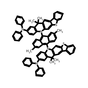 Cc1ccc2c(N3c4ccc(N(c5ccccc5)c5ccccc5)cc4C(C)(C)c4cc5c(cc43)sc3ccccc35)c3cc(C)ccc3c(N3c4ccc(N(c5ccccc5)c5ccccc5)cc4C(C)(C)c4cc5c(cc43)sc3ccccc35)c2c1